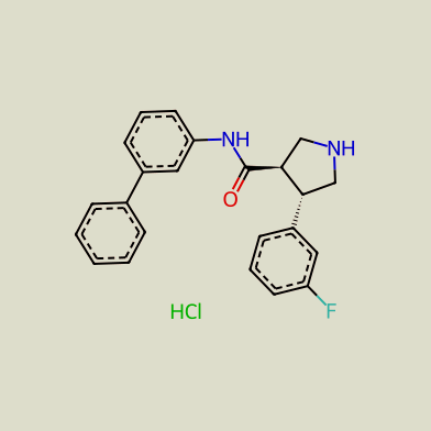 Cl.O=C(Nc1cccc(-c2ccccc2)c1)[C@H]1CNC[C@@H]1c1cccc(F)c1